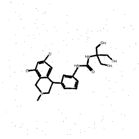 CN1Cc2c(Cl)cc(Cl)cc2C(c2cccc(NC(=O)NC(CO)(CO)CO)c2)C1